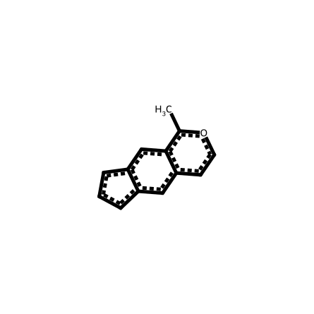 Cc1occc2cc3cccc3cc12